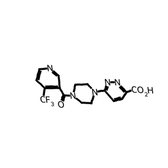 O=C(O)c1ccc(N2CCN(C(=O)c3cnccc3C(F)(F)F)CC2)nn1